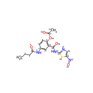 CCCC(=O)Nc1ccc(OC(C)=O)c(C(=O)Nc2ncc(N=O)s2)c1